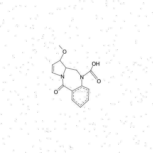 COC1C=CN2C(=O)c3ccccc3N(C(=O)O)CC12